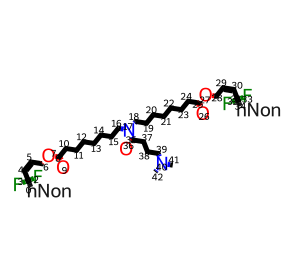 CCCCCCCCCC(F)(F)/C=C\COC(=O)CCCCCCCN(CCCCCCCC(=O)OC/C=C\C(F)(F)CCCCCCCCC)C(=O)CCCN(C)C